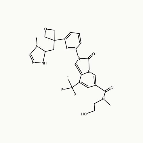 CN(CCO)C(=O)c1cc(C(F)(F)F)c2cn(-c3cccc(C4(CC5NN=CN5C)COC4)c3)c(=O)n2c1